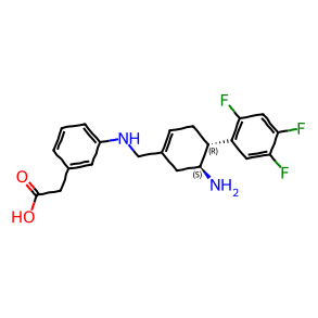 N[C@H]1CC(CNc2cccc(CC(=O)O)c2)=CC[C@@H]1c1cc(F)c(F)cc1F